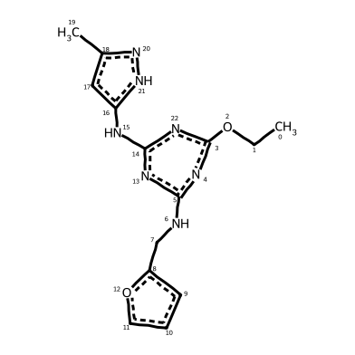 CCOc1nc(NCc2ccco2)nc(Nc2cc(C)n[nH]2)n1